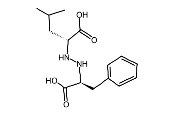 CC(C)C[C@@H](NN[C@@H](Cc1ccccc1)C(=O)O)C(=O)O